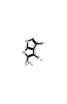 Cc1sc2scc(F)c2c1F